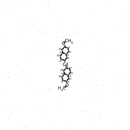 COc1ccc2c[c]([Cd][c]3ccc4cc(OC)ccc4c3)ccc2c1